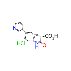 Cl.O=C(O)c1cc2cc(-c3cccnc3)ccc2[nH]c1=O